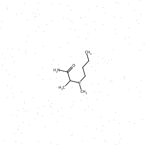 CCCCN(C)C(C)C(N)=O